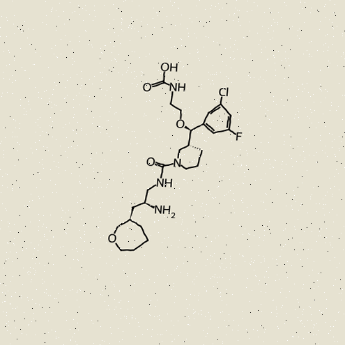 N[C@H](CNC(=O)N1CCC[C@@H]([C@@H](OCCNC(=O)O)c2cc(F)cc(Cl)c2)C1)C[C@H]1CCCCOC1